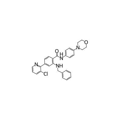 O=C(Nc1ccc(N2CCOCC2)cc1)c1ccc(-c2ncccc2Cl)cc1NCc1ccccc1